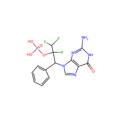 Nc1nc2c(ncn2C(c2ccccc2)C(F)(OP(=O)(O)O)C(F)F)c(=O)[nH]1